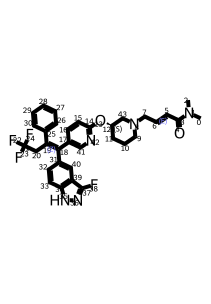 CN(C)C(=O)/C=C/CN1CCC[C@H](Oc2ccc(/C(=C(/CC(F)(F)F)c3ccccc3)c3ccc4[nH]nc(F)c4c3)cn2)C1